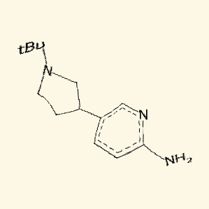 CC(C)(C)N1CCC(c2ccc(N)nc2)C1